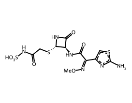 CON=C(C(=O)N[C@@H]1C(=O)N[C@H]1SCC(=O)NS(=O)(=O)O)c1csc(N)n1